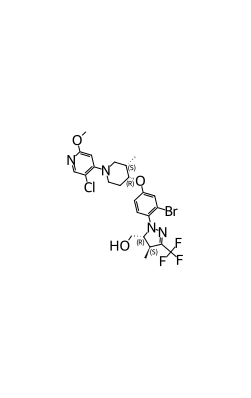 COc1cc(N2CC[C@@H](Oc3ccc(N4N=C(C(F)(F)F)[C@@H](C)[C@@H]4CO)c(Br)c3)[C@@H](C)C2)c(Cl)cn1